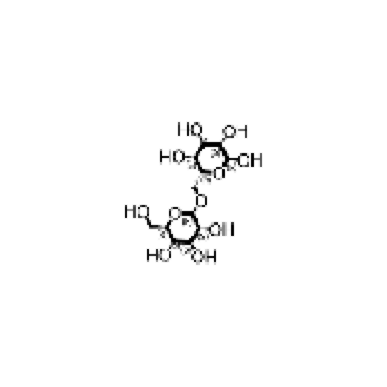 OC[C@H]1O[C@@H](OC[C@H]2O[C@H](O)[C@@H](O)[C@@H](O)[C@@H]2O)[C@@H](O)[C@@H](O)[C@@H]1O